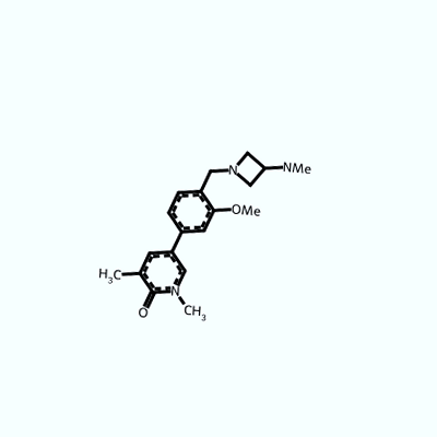 CNC1CN(Cc2ccc(-c3cc(C)c(=O)n(C)c3)cc2OC)C1